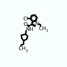 CCCC1CCC(CNC(=O)c2cn(CC)c3cccc(Cl)c23)CC1